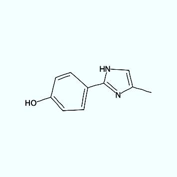 Cc1c[nH]c(-c2ccc(O)cc2)n1